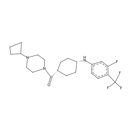 O=C([C@H]1CC[C@@H](Nc2ccc(C(F)(F)F)c(F)c2)CC1)N1CCN(C2CCC2)CC1